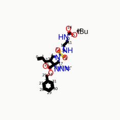 C=CCC1CN(S(=O)(=O)NCCNC(=O)OC(C)(C)C)CC1(N=[N+]=[N-])C(=O)OCc1ccccc1